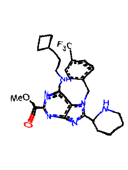 COC(=O)c1nc(NCCC2CCC2)c2c(n1)nc(C1CCCCN1)n2Cc1ccc(C(F)(F)F)cc1